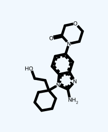 Nc1nc2cc(N3CCOCC3=O)ccc2n1C1(CCO)CCCCC1